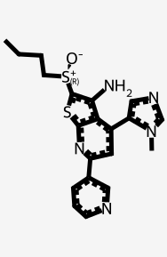 CCCC[S@+]([O-])c1sc2nc(-c3cccnc3)cc(-c3cncn3C)c2c1N